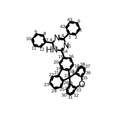 c1ccc(C2=NC(c3ccccc3)NC(c3ccc4c(c3)-c3ccccc3C43c4ccccc4Oc4ccccc43)=N2)cc1